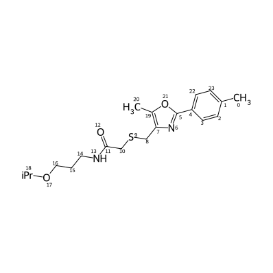 Cc1ccc(-c2nc(CSCC(=O)NCCCOC(C)C)c(C)o2)cc1